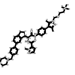 Cc1nn(COCC[Si](C)(C)C)c(C)c1-c1ccc(NC(=O)[C@@H](NC(=O)c2ccnn2C)[C@@H]2CCc3ccc(-c4ccc(CN5CCOCC5)cc4)cc32)cc1